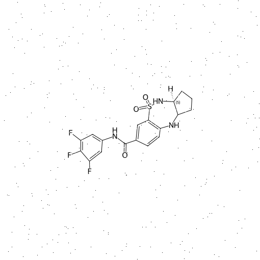 O=C(Nc1cc(F)c(F)c(F)c1)c1ccc2c(c1)S(=O)(=O)N[C@H]1CCCC1N2